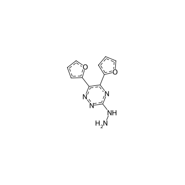 NNc1nnc(-c2ccco2)c(-c2ccco2)n1